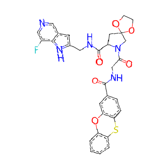 O=C(NCC(=O)N1CC2(CC1C(=O)NCc1cc3cncc(F)c3[nH]1)OCCO2)c1ccc2c(c1)Oc1ccccc1S2